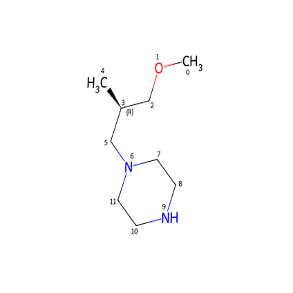 COC[C@H](C)CN1CCNCC1